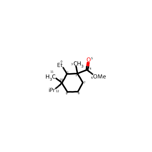 CCC1C(C)(C(=O)OC)CCCC1(C)C(C)C